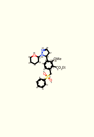 CCOC(=O)c1c(CS(=O)(=O)c2ccccc2)ccc(C2CC=NN2C2CCCCO2)c1OC